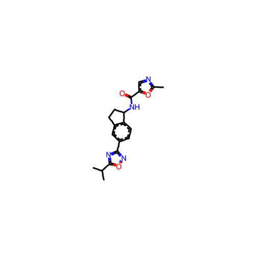 Cc1ncc(C(=O)NC2CCc3cc(-c4noc(C(C)C)n4)ccc32)o1